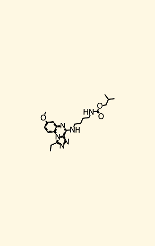 CCc1nnc2c(NCCCCNC(=O)OCC(C)C)nc3cc(OC)ccc3n12